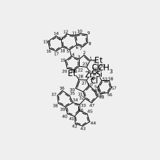 CCC1=Cc2c(-c3c4ccccc4cc4ccccc34)cccc2[CH]1[Zr]([Cl])([Cl])([CH]1C(CC)=Cc2c(-c3c4ccccc4cc4ccccc34)cccc21)=[Si](C)c1ccccc1